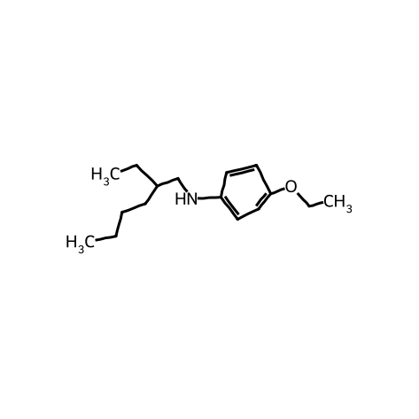 CCCCC(CC)CNc1ccc(OCC)cc1